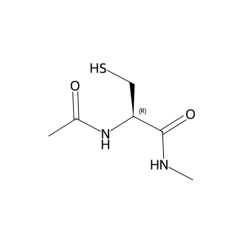 CNC(=O)[C@H](CS)NC(C)=O